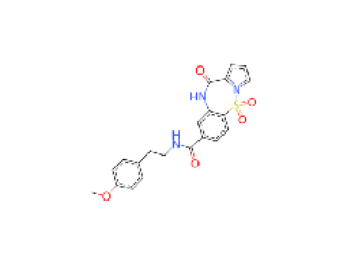 COc1ccc(CCNC(=O)c2ccc3c(c2)NC(=O)c2cccn2S3(=O)=O)cc1